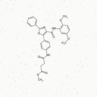 COC(=O)CCC(=O)Nc1ccc(-c2oc(-c3ccccc3)nc2C(=O)Nc2cc(OC)ccc2OC)cc1